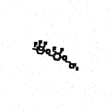 CC12CCC(OCc3ccc(OCCC(F)(F)F)c(F)c3F)(CC1)C(F)C2(F)F